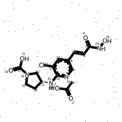 CC(=O)O.O=C(C=Cc1cnc(N[C@@H]2CCN(C(=O)O)C2)c(Cl)c1)NO